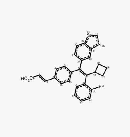 O=C(O)C=Cc1ccc(C(=C(c2ccccc2F)C2CCC2)c2ccc3scnc3c2)cc1